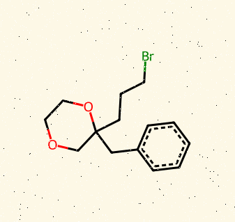 BrCCCC1(Cc2ccccc2)COCCO1